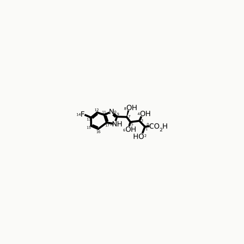 O=C(O)C(O)C(O)C(O)[C@H](O)c1nc2cc(F)ccc2[nH]1